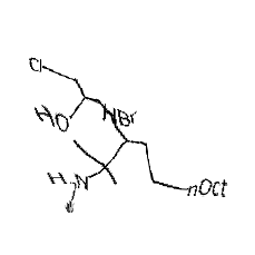 Br.CCCCCCCCCCC(CC(O)CCl)C(C)(C)N